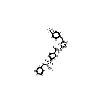 COc1ccc(Cc2nnc(NC(=O)c3ccc(S(=O)(=O)N(C)Cc4ccccc4)cc3)o2)cc1